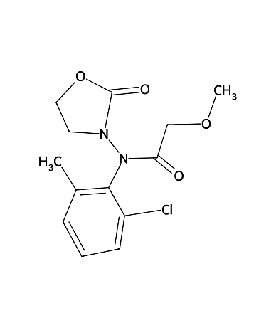 COCC(=O)N(c1c(C)cccc1Cl)N1CCOC1=O